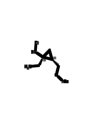 CCCCOC[C@H]1C[C@]1(CN)NCC